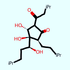 CC(C)CC[C@@H]1C(=O)C(C(=O)CC(C)C)[C@@H](O)[C@@]1(O)[C@@H](O)CCC(C)C